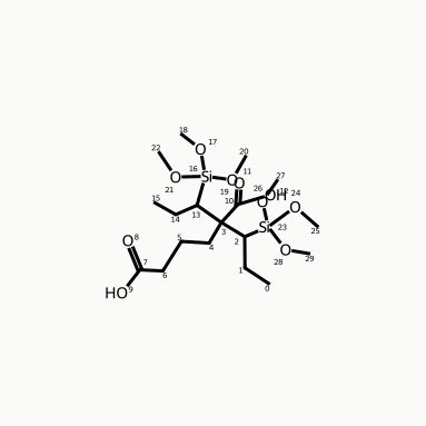 CCC(C(CCCC(=O)O)(C(=O)O)C(CC)[Si](OC)(OC)OC)[Si](OC)(OC)OC